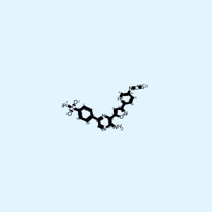 CC(C)S(=O)(=O)c1ccc(-c2cnc(N)c(-c3cc(-c4ccc(N=C=S)cn4)no3)n2)cc1